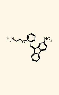 NCCOc1ccccc1C=C1c2ccccc2-c2ccc([N+](=O)[O-])cc21